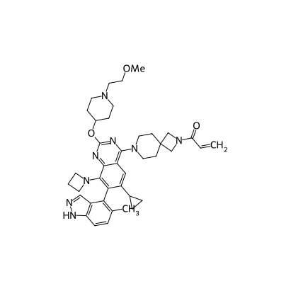 C=CC(=O)N1CC2(CCN(c3nc(OC4CCN(CCOC)CC4)nc4c(N5CCC5)c(-c5c(C)ccc6[nH]ncc56)c(C5CC5)cc34)CC2)C1